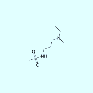 CCN(C)CCCNS(C)(=O)=O